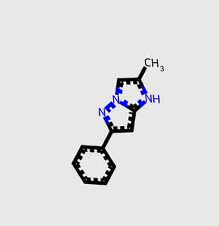 Cc1cn2nc(-c3ccccc3)cc2[nH]1